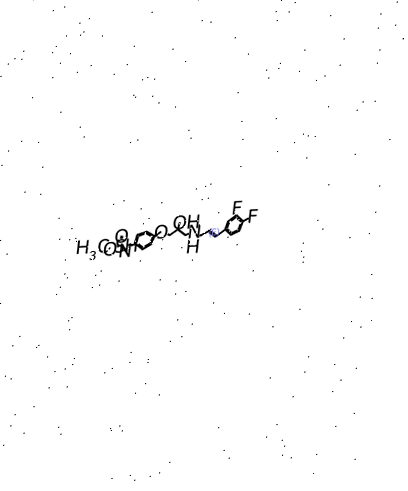 CO[SH](=O)=Nc1ccc(OCC(O)CNC/C=C/c2ccc(F)c(F)c2)cc1